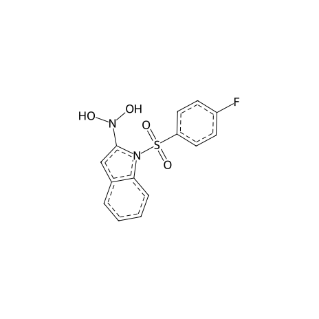 O=S(=O)(c1ccc(F)cc1)n1c(N(O)O)cc2ccccc21